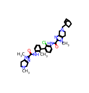 Cc1c(NC(=O)c2nc3c(n2C)CCN(C)C3)cccc1-c1cccc(NC(=O)c2nc3c(n2C)CCN(CC24CCC(CC2)C4)C3)c1Cl